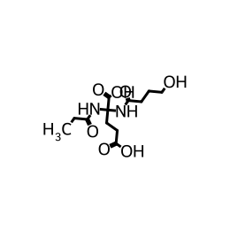 CCC(=O)NC(CCC(=O)O)(NC(=O)CCCO)C(=O)O